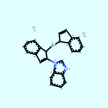 C1=C[CH]([Zr+2][CH]2C(n3cnc4ccccc43)=Cc3ccccc32)c2ccccc21.[Cl-].[Cl-]